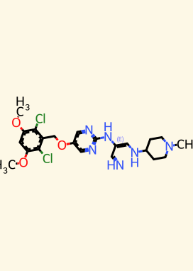 COc1cc(OC)c(Cl)c(COc2cnc(N/C(C=N)=C/NC3CCN(C)CC3)nc2)c1Cl